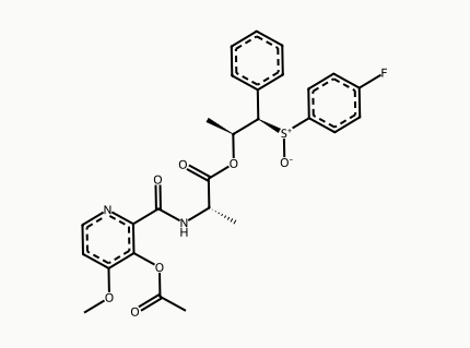 COc1ccnc(C(=O)N[C@@H](C)C(=O)O[C@@H](C)[C@@H](c2ccccc2)[S+]([O-])c2ccc(F)cc2)c1OC(C)=O